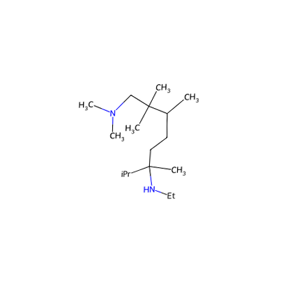 CCNC(C)(CCC(C)C(C)(C)CN(C)C)C(C)C